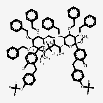 CO[C@@]1(c2ccc(Cl)c(Cc3ccc(OC(F)(F)F)cc3)c2)O[C@H](C(O)C(OC[C@H]2O[C@@](OC)(c3ccc(Cl)c(Cc4ccc(OC(F)(F)F)cc4)c3)[C@H](OCc3ccccc3)[C@@H](OCc3ccccc3)[C@@H]2OCc2ccccc2)C(C)(C)[SiH](C)C)[C@@H](OCc2ccccc2)[C@H](OCc2ccccc2)[C@H]1OCc1ccccc1